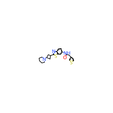 O=C(Cc1ccsc1)Nc1ccc2nc(C3CC(N4CCCCC4)C3)sc2c1